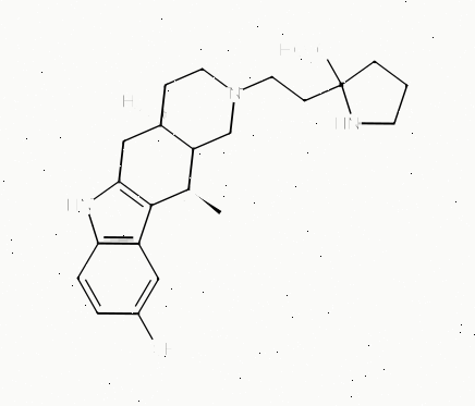 C[C@H]1c2c([nH]c3ccc(C(F)(F)F)cc23)C[C@H]2CCN(CCC3(C(=O)O)CCCN3)CC21